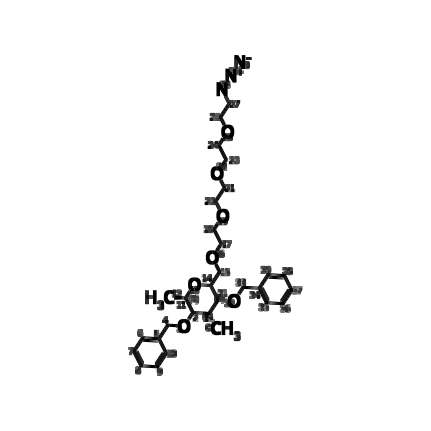 C[C@@H]1C(OCc2ccccc2)[C@@H](C)OC(COCCOCCOCCOCCN=[N+]=[N-])[C@@H]1OCc1ccccc1